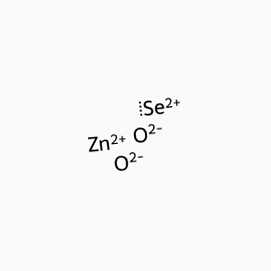 [O-2].[O-2].[Se+2].[Zn+2]